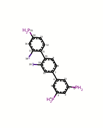 Pc1cc(P)cc(-c2ccc(-c3ccc(P)cc3I)c(I)c2)c1